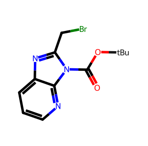 CC(C)(C)OC(=O)n1c(CBr)nc2cccnc21